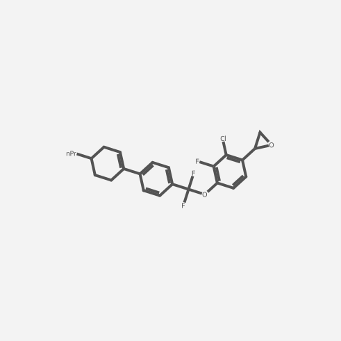 CCCC1CC=C(c2ccc(C(F)(F)Oc3ccc(C4CO4)c(Cl)c3F)cc2)CC1